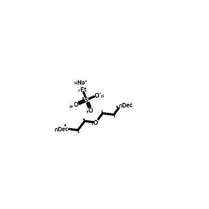 CCCCCCCCCCCCOCCCCCCCCCCCC.CCS(=O)(=O)[O-].[Na+]